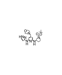 CC(C)(C)OC(=O)N1CCCC(Nc2cc(CN3CCOCC3)cc(Nc3cc[nH]n3)n2)C1